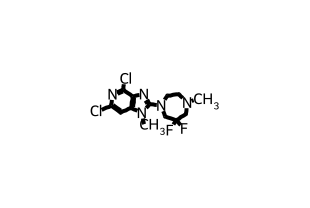 CN1CCN(c2nc3c(Cl)nc(Cl)cc3n2C)CC(F)(F)C1